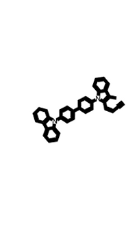 C#C/C=C\c1c(C)c2ccccc2n1C1=CCC(c2ccc(-n3c4c(c5ccccc53)C=CCC4)cc2)C=C1